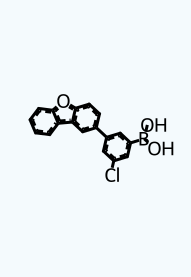 OB(O)c1cc(Cl)cc(-c2ccc3oc4ccccc4c3c2)c1